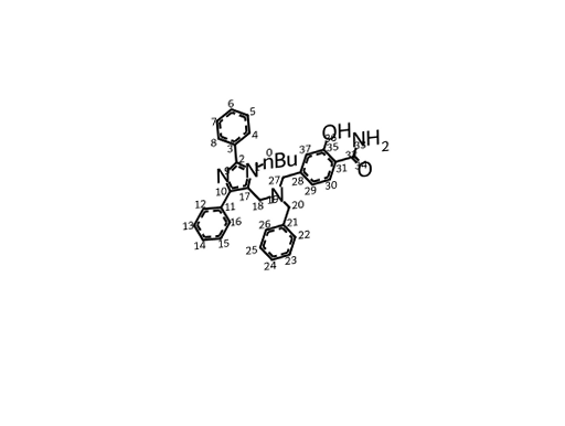 CCCCn1c(-c2ccccc2)nc(-c2ccccc2)c1CN(Cc1ccccc1)Cc1ccc(C(N)=O)c(O)c1